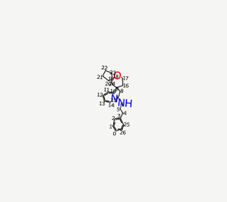 c1ccc(CCNCCC2(c3ccccn3)CCOC3(CCCC3)C2)cc1